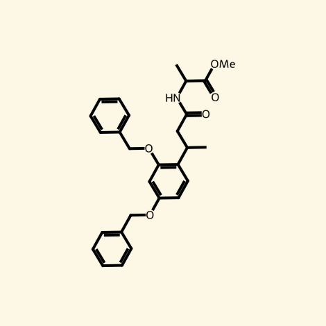 COC(=O)C(C)NC(=O)CC(C)c1ccc(OCc2ccccc2)cc1OCc1ccccc1